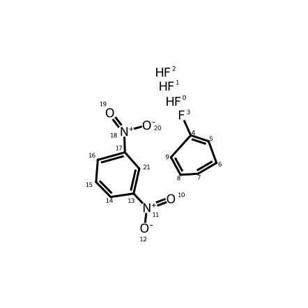 F.F.F.Fc1ccccc1.O=[N+]([O-])c1cccc([N+](=O)[O-])c1